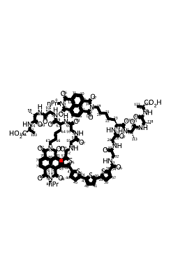 CCCN1C(=O)c2ccc3c4c(ccc(c24)C1=O)C(=O)N(CCCCC[C@H](NC(=O)CNC(=O)CNC(=O)c1ccc(-c2ccc(-c4ccc(-c5ccc(C(=O)NCC(=O)NCC(=O)N[C@@H](CCCCN6C(=O)c7ccc8c9c(ccc(c79)C6=O)C(=O)N(CCC)C8=O)C(=O)N[C@@H](C)C(=O)N[C@@H](C)C(=O)N[C@@H](C)C(=O)O)s5)s4)s2)s1)C(=O)N[C@@H](C)C(=O)N[C@@H](C)C(=O)N[C@@H](C)C(=O)O)C3=O